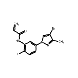 C=CC(=O)Nc1cc(-n2cc(Br)c(C)n2)ccc1F